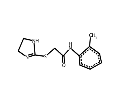 Cc1ccccc1NC(=O)CSC1=NCCN1